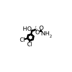 C[C@H](OC(N)=O)[C@@H](O)c1ccc(Cl)c(Cl)c1